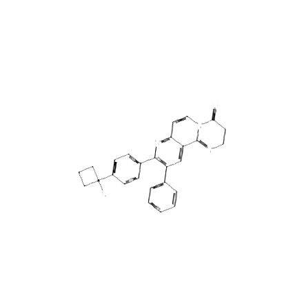 NC1(c2ccc(-c3nc4c(cc3-c3ccccc3)C3=NCCC(=O)N3C=C4)cc2)CCC1